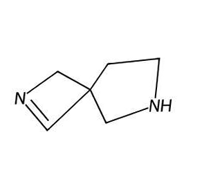 C1=NCC12CCNC2